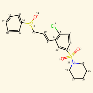 O=S(=O)(c1ccc(Cl)c(/C=C/C[S+]([O-])c2ccccc2)c1)N1CCCCC1